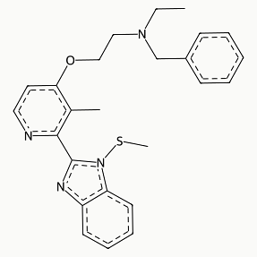 CCN(CCOc1ccnc(-c2nc3ccccc3n2SC)c1C)Cc1ccccc1